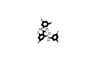 CC(Pc1cc(F)cc(F)c1)c1c(F)cc(F)cc1P(Cl)Pc1cc(F)cc(F)c1